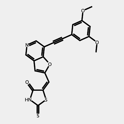 COc1cc(C#Cc2cncc3cc(/C=C4/SC(=S)NC4=O)oc23)cc(OC)c1